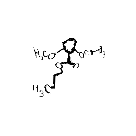 CCCCOC(=O)c1c(OC)cccc1OC